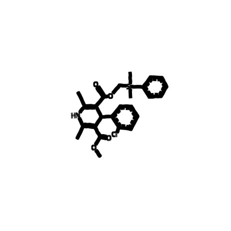 COC(=O)C1=C(C)NC(C)=C(C(=O)OC[Si](C)(C)c2ccccc2)C1c1ccccc1Cl